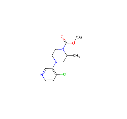 CC1CN(c2cnccc2Cl)CCN1C(=O)OC(C)(C)C